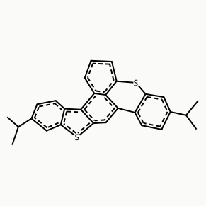 CC(C)c1ccc2c(c1)Sc1cccc3c1c-2cc1sc2cc(C(C)C)ccc2c13